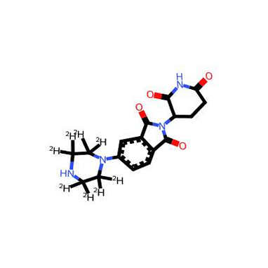 [2H]C1([2H])NC([2H])([2H])C([2H])([2H])N(c2ccc3c(c2)C(=O)N(C2CCC(=O)NC2=O)C3=O)C1([2H])[2H]